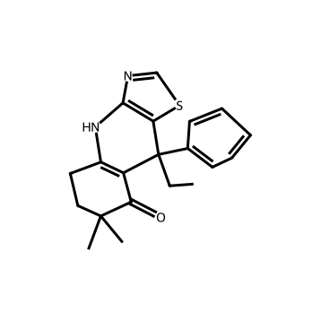 CCC1(c2ccccc2)C2=C(CCC(C)(C)C2=O)Nc2ncsc21